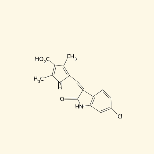 Cc1[nH]c(C=C2C(=O)Nc3cc(Cl)ccc32)c(C)c1C(=O)O